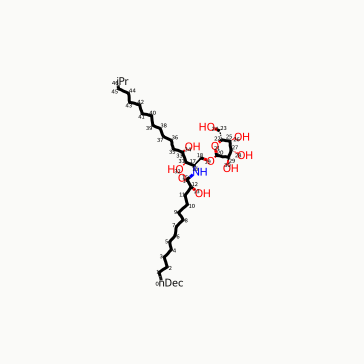 CCCCCCCCCCCCCCCCCCCCCC(O)C(=O)N[C@H](CO[C@H]1O[C@H](CO)[C@H](O)[C@H](O)[C@H]1O)[C@H](O)[C@H](O)CCCCCCCCCCCC(C)C